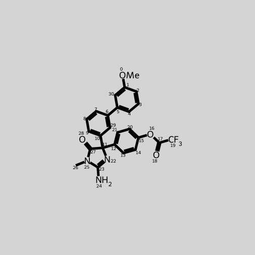 COc1cccc(-c2cccc(C3(c4ccc(OC(=O)C(F)(F)F)cc4)N=C(N)N(C)C3=O)c2)c1